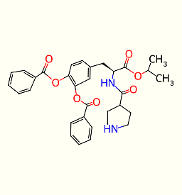 CC(C)OC(=O)[C@H](Cc1ccc(OC(=O)c2ccccc2)c(OC(=O)c2ccccc2)c1)NC(=O)C1CCNCC1